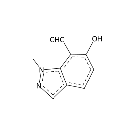 Cn1ncc2ccc(O)c(C=O)c21